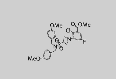 COC(=O)c1cc(F)cc(N2CC(S(=O)(=O)N(Cc3ccc(OC)cc3)Cc3ccc(OC)cc3)C2)c1Cl